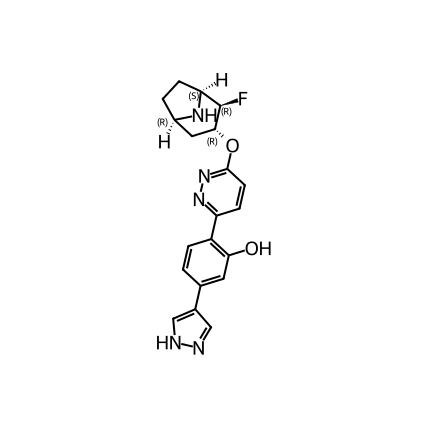 Oc1cc(-c2cn[nH]c2)ccc1-c1ccc(O[C@@H]2C[C@H]3CC[C@H](N3)[C@H]2F)nn1